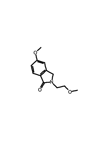 COCCN1Cc2cc(OC)ccc2C1=O